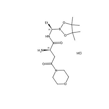 CC[C@H](NC(=O)[C@H](N)CC(=O)N1CCOCC1)B1OC(C)(C)C(C)(C)O1.Cl